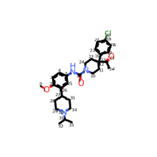 COc1ccc(NC(=O)N2CCC(C(C)=O)(c3ccc(Cl)cc3)CC2)cc1C1CCN(C(C)C)CC1